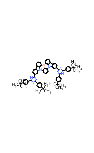 CC(C)(C)c1ccc(-c2nc(-c3ccc(C(C)(C)C)cc3)nc(-c3ccc4c5cccc6c5n(c4c3)-c3cccc4c3B6c3cccc5c6ccc(-c7nc(-c8ccc(C(C)(C)C)cc8)nc(-c8ccc(C(C)(C)C)cc8)n7)cc6n-4c35)n2)cc1